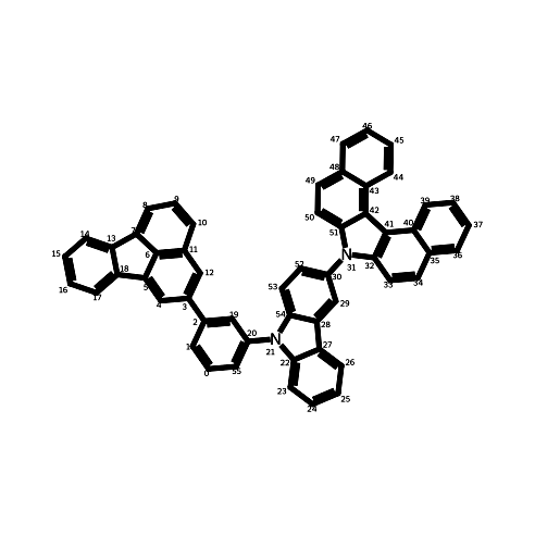 c1cc(-c2cc3c4c(cccc4c2)-c2ccccc2-3)cc(-n2c3ccccc3c3cc(-n4c5ccc6ccccc6c5c5c6ccccc6ccc54)ccc32)c1